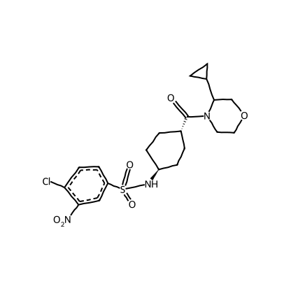 O=C([C@H]1CC[C@H](NS(=O)(=O)c2ccc(Cl)c([N+](=O)[O-])c2)CC1)N1CCOCC1C1CC1